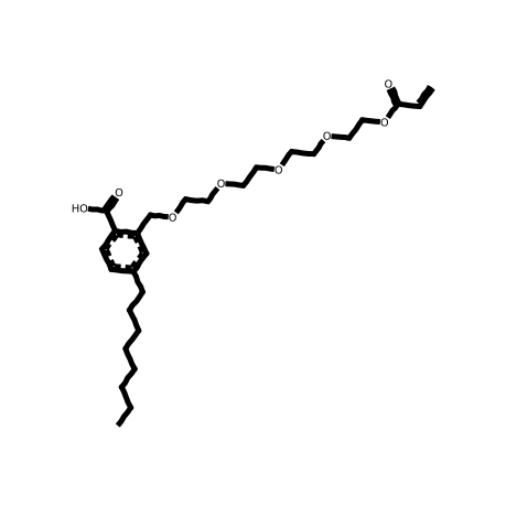 C=CC(=O)OCCOCCOCCOCCOCc1cc(CCCCCCCC)ccc1C(=O)O